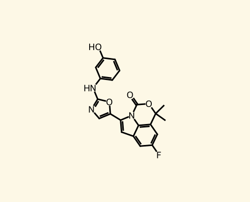 CC1(C)OC(=O)n2c(-c3cnc(Nc4cccc(O)c4)o3)cc3cc(F)cc1c32